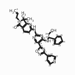 C=CCN1C(=O)c2ccc(Nc3ncc(-c4nc(-c5ccncc5)no4)c(N[C@H](CO)c4ccccc4)n3)nc2C1(C)C